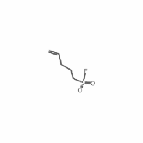 C=CCCCS(=O)(=O)F